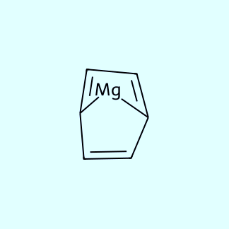 C1=C[C]2=CC=[C]1[Mg]2